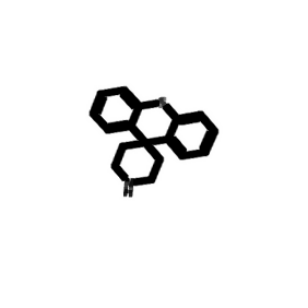 c1ccc2c(c1)Sc1ccccc1C21CCNCC1